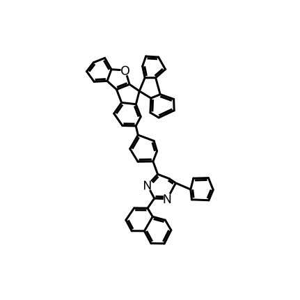 c1ccc(-c2cc(-c3ccc(-c4ccc5c(c4)C4(c6ccccc6-c6ccccc64)c4oc6ccccc6c4-5)cc3)nc(-c3cccc4ccccc34)n2)cc1